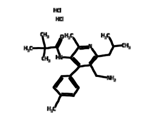 Cc1ccc(-c2c(CN)c(CC(C)C)nc(C)c2NC(=O)C(C)(C)C)cc1.Cl.Cl